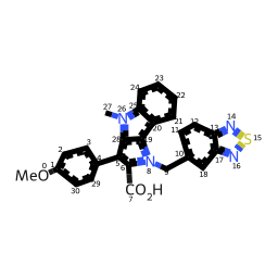 COc1ccc(-c2c(C(=O)O)n(Cc3ccc4nsnc4c3)c3c4ccccc4n(C)c23)cc1